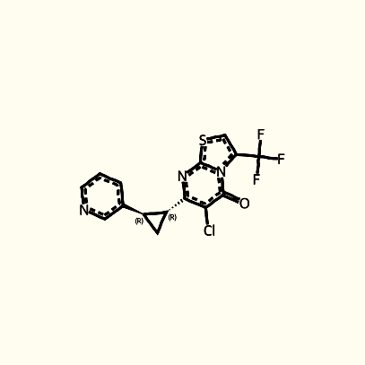 O=c1c(Cl)c([C@@H]2C[C@H]2c2cccnc2)nc2scc(C(F)(F)F)n12